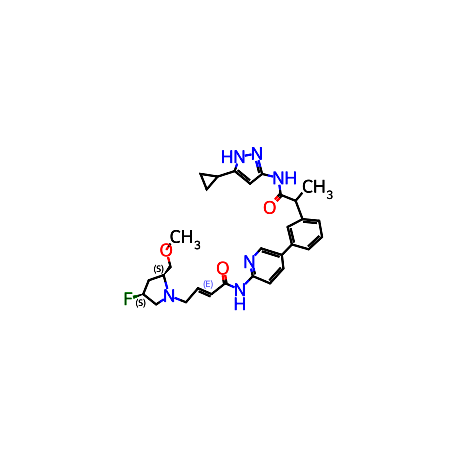 COC[C@@H]1C[C@H](F)CN1C/C=C/C(=O)Nc1ccc(-c2cccc(C(C)C(=O)Nc3cc(C4CC4)[nH]n3)c2)cn1